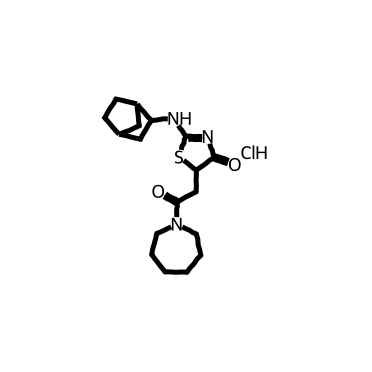 Cl.O=C1N=C(NC2CC3CCC2C3)SC1CC(=O)N1CCCCCC1